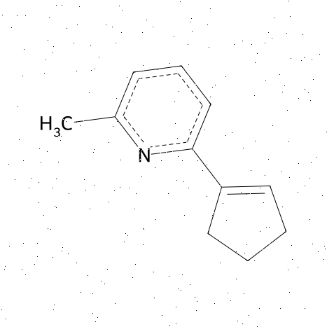 Cc1cccc(C2=CCCC2)n1